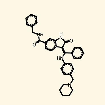 O=C1Nc2cc(C(=O)NCc3ccccc3)ccc2C1=C(Nc1ccc(CN2CCCCC2)cc1)c1ccccc1